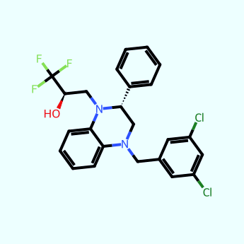 O[C@H](CN1c2ccccc2N(Cc2cc(Cl)cc(Cl)c2)C[C@H]1c1ccccc1)C(F)(F)F